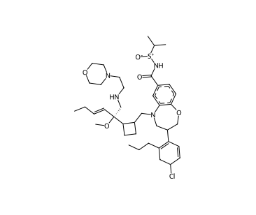 CC/C=C/[C@](CNCCN1CCOCC1)(OC)C1CCC1CN1CC(C2=C(CCC)CC(Cl)C=C2)COc2ccc(C(=O)N[S+]([O-])C(C)C)cc21